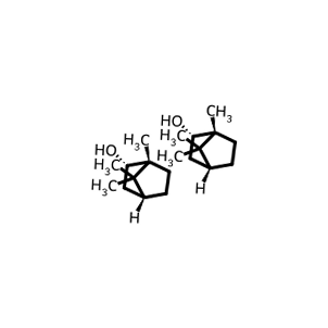 CC1(C)[C@@H]2CC[C@@]1(C)[C@@H](O)C2.CC1(C)[C@@H]2CC[C@@]1(C)[C@@H](O)C2